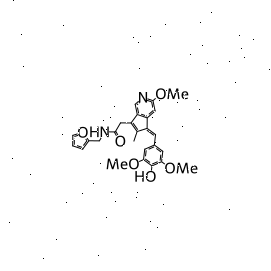 COc1cc2c(cn1)C(CC(=O)NCc1ccco1)=C(C)C2=Cc1cc(OC)c(O)c(OC)c1